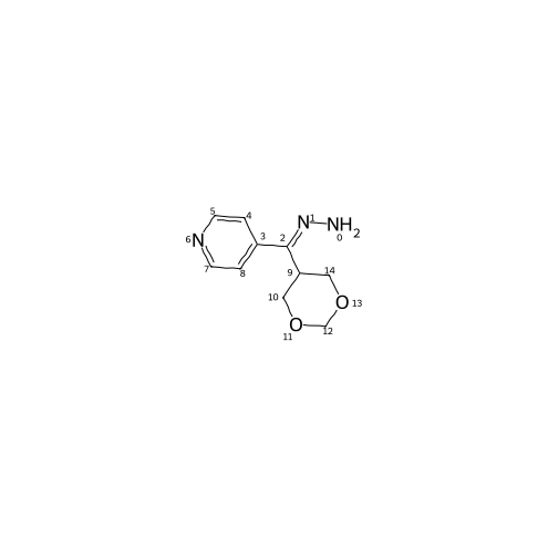 NN=C(c1ccncc1)C1COCOC1